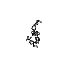 COCN1CCCN(S(=O)(=O)NC(=O)c2coc(Nc3cc(C(F)(F)F)ccc3C)n2)CC1